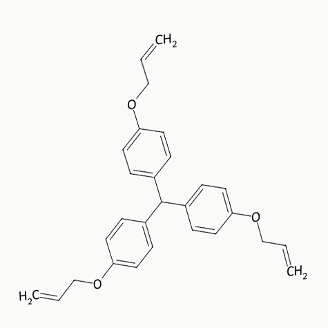 C=CCOc1ccc(C(c2ccc(OCC=C)cc2)c2ccc(OCC=C)cc2)cc1